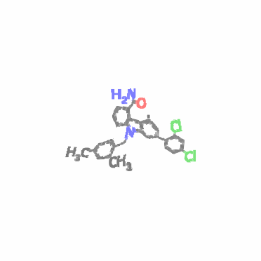 Cc1ccc(Cn2c3cc(-c4ccc(Cl)cc4Cl)c[c]c3c3c(C(N)=O)cccc32)c(C)c1